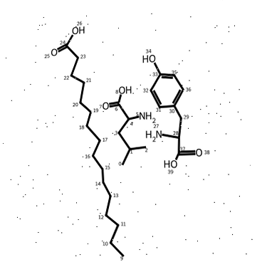 CC(C)CC(N)C(=O)O.CCCCCCCCCCCCCCCC(=O)O.NC(Cc1ccc(O)cc1)C(=O)O